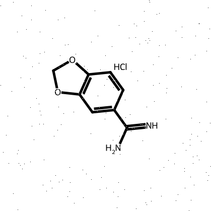 Cl.N=C(N)c1ccc2c(c1)OCO2